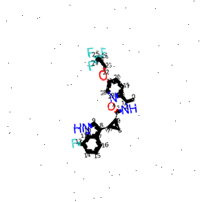 CC(NC(=O)[C@@H]1C[C@H]1c1c[nH]c2c(F)cccc12)c1ccc(OCC(F)(F)F)cn1